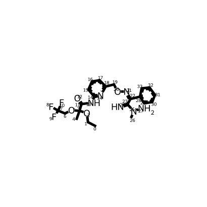 CCOC(C)(OCC(F)(F)F)C(=O)Nc1cccc(CO/N=C(\C(=N)N(C)N)c2ccccc2)n1